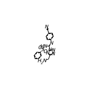 N#Cc1ccc(N=C(NS(=O)(=O)c2ccccc2)n2nnc(CN)n2)cc1